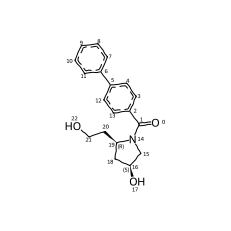 O=C(c1ccc(-c2ccccc2)cc1)N1C[C@@H](O)C[C@H]1CCO